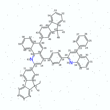 CC1(C)c2ccccc2-c2ccc(-c3cc(-c4ccc(-c5cc(-c6ccccc6)c6ccccc6n5)cc4)c4cc(-c5ccc6c(c5)C(C)(C)c5ccccc5-6)c5ccccc5c4n3)cc21